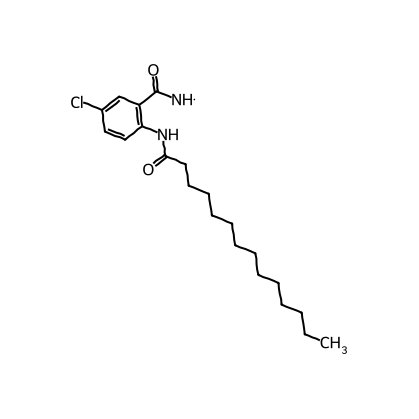 CCCCCCCCCCCCCC(=O)Nc1ccc(Cl)cc1C([NH])=O